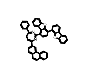 C1=C(c2ccc3ccc4ccccc4c3c2)N=C(c2ccc(-c3cccc4c3oc3ccccc34)c3oc4ccccc4c23)N=C(c2ccccc2)C1